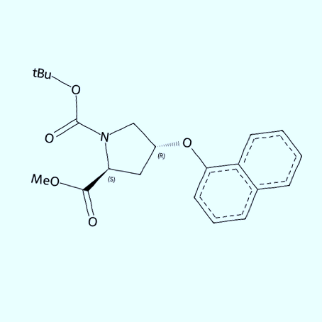 COC(=O)[C@@H]1C[C@@H](Oc2cccc3ccccc23)CN1C(=O)OC(C)(C)C